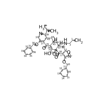 C=CCN[C@@H]1c2onc(OCc3ccccc3)c2C(=O)[C@@]2(O)C(O)=C3C(=O)c4c(OCc5ccccc5)cnc(N(C)C)c4C[C@H]3C[C@@H]12